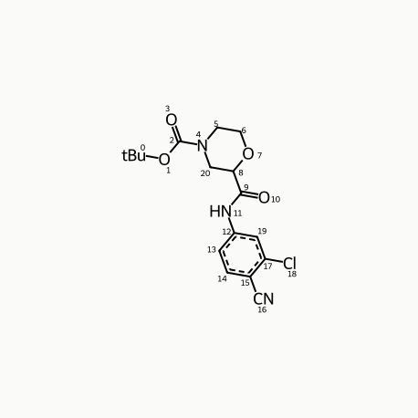 CC(C)(C)OC(=O)N1CCOC(C(=O)Nc2ccc(C#N)c(Cl)c2)C1